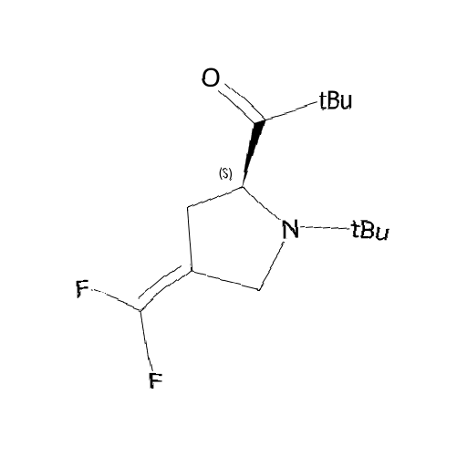 CC(C)(C)C(=O)[C@@H]1CC(=C(F)F)CN1C(C)(C)C